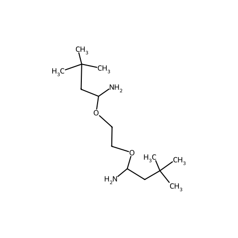 CC(C)(C)CC(N)OCCOC(N)CC(C)(C)C